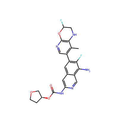 Cc1c(-c2cc3cc(NC(=O)O[C@H]4CCOC4)ncc3c(N)c2F)cnc2c1NCC(F)O2